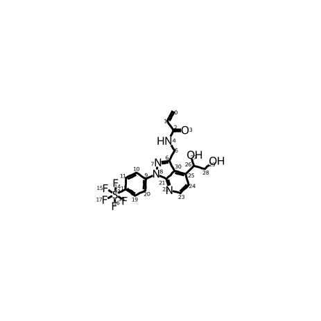 C=CC(=O)NCc1nn(-c2ccc(S(F)(F)(F)(F)F)cc2)c2nccc(C(O)CO)c12